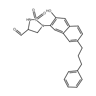 O=CC1CN(c2cc3cc(CCCc4ccccc4)ccc3cc2O)S(=O)(=O)N1